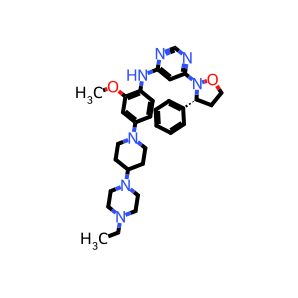 CCN1CCN(C2CCN(c3ccc(Nc4cc(N5OCC[C@@H]5c5ccccc5)ncn4)c(OC)c3)CC2)CC1